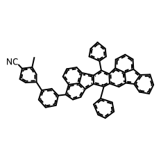 Cc1cc(-c2cccc(-c3ccc4c5c(-c6ccccc6)c6cc7c8ccccc8c8cccc(c6c(-c6ccccc6)c5c5cccc3c45)c87)c2)ccc1C#N